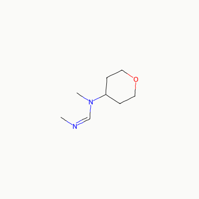 C/N=C\N(C)C1CCOCC1